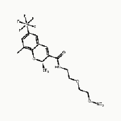 Cc1cc(S(F)(F)(F)(F)F)cc2c1O[C@H](C(F)(F)F)C(C(=O)NCCOCCO[N+](=O)[O-])=C2